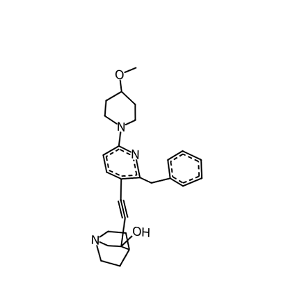 COC1CCN(c2ccc(C#CC3(O)CN4CCC3CC4)c(Cc3ccccc3)n2)CC1